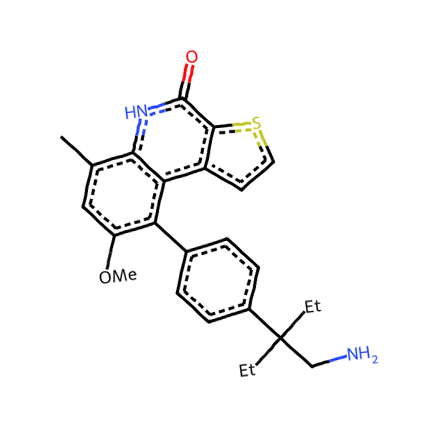 CCC(CC)(CN)c1ccc(-c2c(OC)cc(C)c3[nH]c(=O)c4sccc4c23)cc1